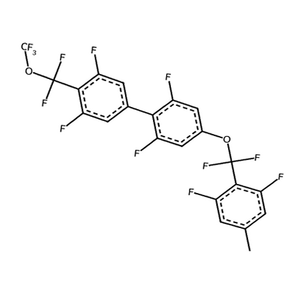 Cc1cc(F)c(C(F)(F)Oc2cc(F)c(-c3cc(F)c(C(F)(F)OC(F)(F)F)c(F)c3)c(F)c2)c(F)c1